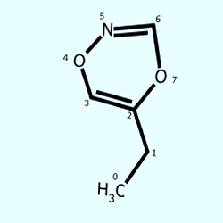 CCC1=CON=CO1